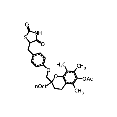 CCCCCCCCC1(COc2ccc(CC3SC(=O)NC3=O)cc2)CCc2c(C)c(OC(C)=O)c(C)c(C)c2O1